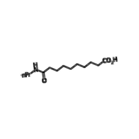 CC[CH]NC(=O)CCCCCCCCC(=O)O